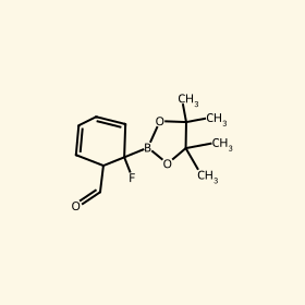 CC1(C)OB(C2(F)C=CC=CC2C=O)OC1(C)C